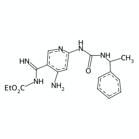 CCOC(=O)NC(=N)c1cnc(NC(=O)NC(C)c2ccccc2)cc1N